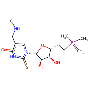 C=P(C)(C)CC[C@H]1O[C@@H](n2cc(CNC)c(=O)[nH]c2=S)[C@H](O)[C@@H]1O